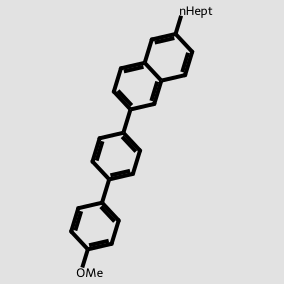 CCCCCCCc1ccc2cc(-c3ccc(-c4ccc(OC)cc4)cc3)ccc2c1